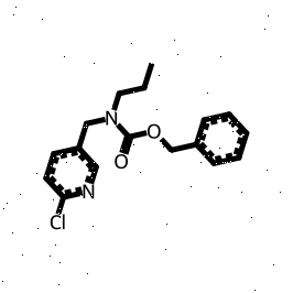 CCCN(Cc1ccc(Cl)nc1)C(=O)OCc1ccccc1